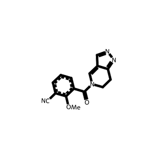 COc1c(C#N)cccc1C(=O)N1C=C2C=NN=C2CC1